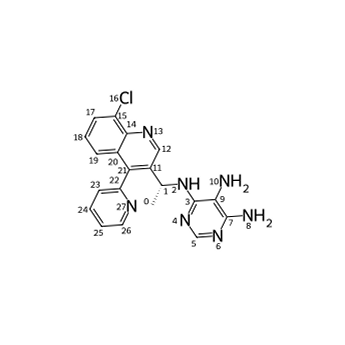 C[C@@H](Nc1ncnc(N)c1N)c1cnc2c(Cl)cccc2c1-c1ccccn1